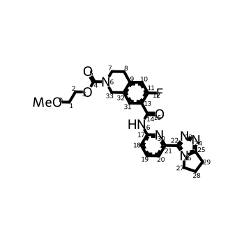 COCCOC(=O)N1CCc2cc(F)c(C(=O)Nc3cccc(-c4nnc5n4CCC5)n3)cc2C1